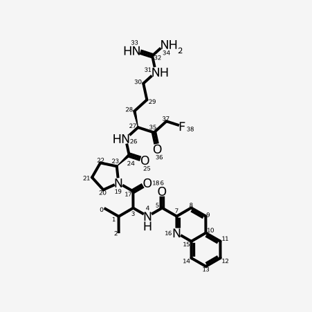 CC(C)C(NC(=O)c1ccc2ccccc2n1)C(=O)N1CCC[C@H]1C(=O)N[C@@H](CCCNC(=N)N)C(=O)CF